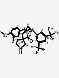 COc1ccc(CN(Cc2cc(C(F)(F)F)cc(C(F)(F)F)c2)C(=O)C2(CC3CC3)CCNC2)cc1F